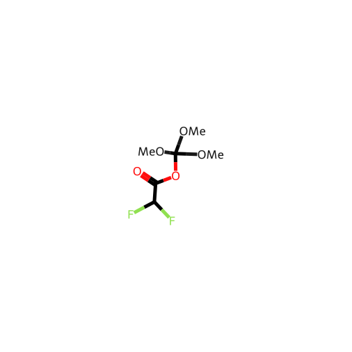 COC(OC)(OC)OC(=O)C(F)F